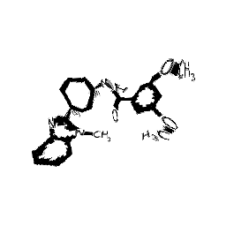 COc1cc(OC)cc(C(=O)N[C@@H]2CCC[C@H](c3nc4ccccc4n3C)C2)c1